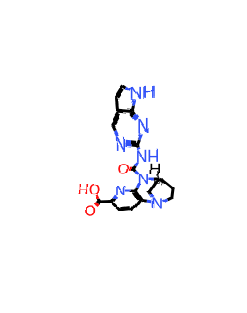 O=C(O)c1ccc2c(n1)N(C(=O)Nc1ncc3cc[nH]c3n1)[C@H]1CCN2C1